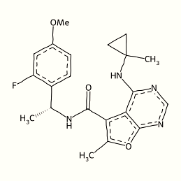 COc1ccc([C@@H](C)NC(=O)c2c(C)oc3ncnc(NC4(C)CC4)c23)c(F)c1